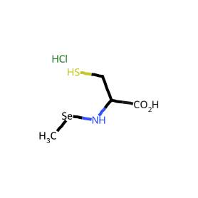 C[Se]NC(CS)C(=O)O.Cl